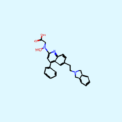 O=C(O)CN(O)c1cc(-c2ccccc2)c2cc(CCN3Cc4ccccc4C3)ccc2n1